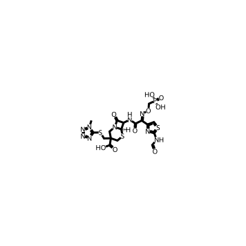 Cn1nnnc1SCC1(C(=O)O)CS[C@@H]2C(NC(=O)C(=NOCP(=O)(O)O)c3csc(NC=O)n3)C(=O)N2C1